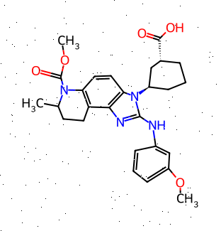 COC(=O)N1c2ccc3c(nc(Nc4cccc(OC)c4)n3[C@@H]3CCC[C@@H](C(=O)O)C3)c2CCC1C